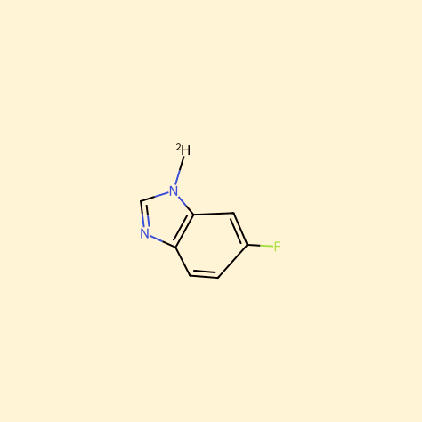 [2H]n1cnc2ccc(F)cc21